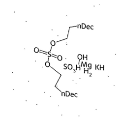 CCCCCCCCCCCCOS(=O)(=O)OCCCCCCCCCCCC.O=S(=O)(O)O.[KH].[MgH2]